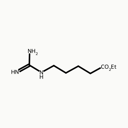 CCOC(=O)CCCCNC(=N)N